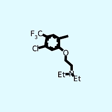 CCN(CC)CCOc1cc(Cl)c(C(F)(F)F)cc1C